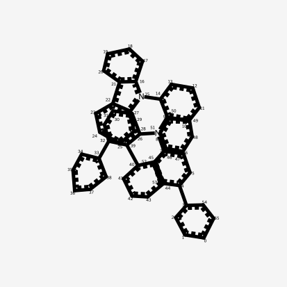 c1ccc(-c2ccc(N(c3ccccc3-n3c4ccccc4c4ccccc43)c3cccc(-c4ccccc4)c3-c3ccccc3-c3ccccc3)cc2)cc1